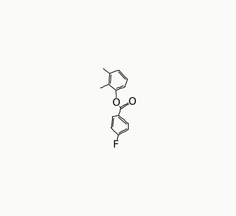 Cc1cccc(OC(=O)c2ccc(F)cc2)c1C